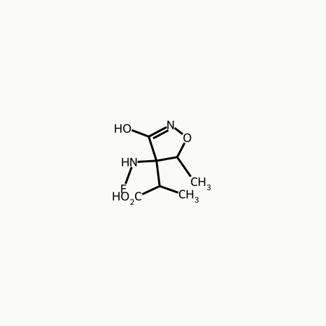 CC1ON=C(O)C1(NF)C(C)C(=O)O